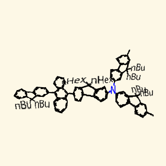 CCCCCCC1(CCCCCC)c2cc(-c3c4ccccc4c(-c4ccc5c(c4)C(CCCC)(CCCC)c4ccccc4-5)c4ccccc34)ccc2-c2ccc(N(c3ccc4c(c3)C(CCCC)(CCCC)c3cc(C)ccc3-4)c3ccc4c(c3)C(CCCC)(CCCC)c3cc(C)ccc3-4)cc21